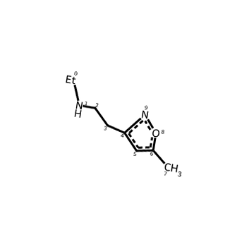 CCNCCc1cc(C)on1